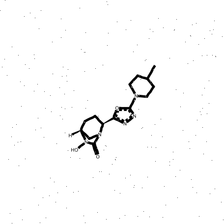 CC1CCN(c2nnc([C@@H]3CC[C@@H]4CN3C(=O)N4O)o2)CC1